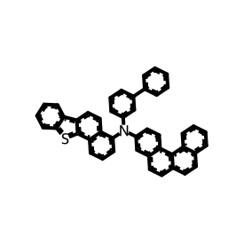 c1ccc(-c2cccc(N(c3ccc4c(ccc5ccc6ccccc6c54)c3)c3cccc4c3ccc3c5ccccc5sc43)c2)cc1